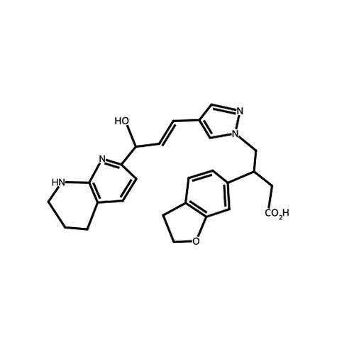 O=C(O)CC(Cn1cc(C=CC(O)c2ccc3c(n2)NCCC3)cn1)c1ccc2c(c1)OCC2